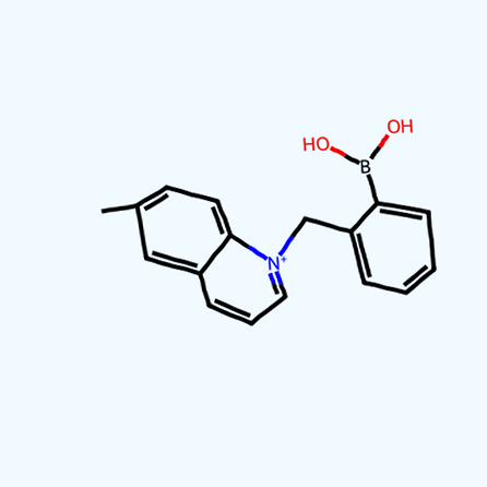 Cc1ccc2c(ccc[n+]2Cc2ccccc2B(O)O)c1